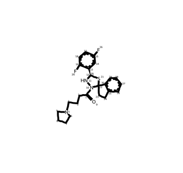 O=C(CCCN1CCCC1)N1N[C@@H](c2cc(F)ccc2F)SC12CCc1ccccc12